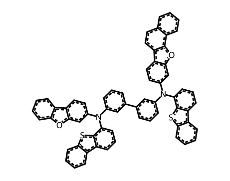 c1cc(-c2cccc(N(c3ccc4c(c3)oc3c5ccccc5ccc43)c3cccc4c3sc3ccccc34)c2)cc(N(c2ccc3c(c2)oc2ccccc23)c2cccc3c2sc2ccccc23)c1